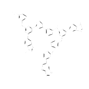 Cn1cnc2cc(-c3cc(-c4cc(-c5cccc(Nc6nc(Cc7cccc(Nc8nccc(-c9cnc%10nc[nH]c%10c9)n8)c7)cc(-c7ccc8[nH]cnc8c7)n6)c5)ccn4)nc(Nc4cccc(C(F)(F)F)c4)n3)ccc21